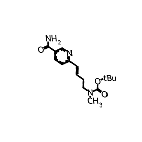 CN(CCC=Cc1ccc(C(N)=O)cn1)C(=O)OC(C)(C)C